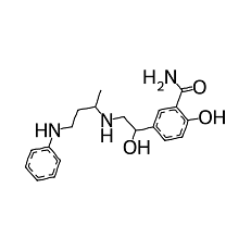 CC(CCNc1ccccc1)NCC(O)c1ccc(O)c(C(N)=O)c1